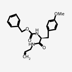 C=CCNC(=O)[C@H](Cc1ccc(OC)cc1)NC(=O)OCc1ccccc1